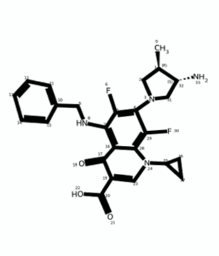 C[C@@H]1CN(c2c(F)c(NCc3ccccc3)c3c(=O)c(C(=O)O)cn(C4CC4)c3c2F)C[C@H]1N